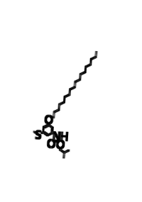 CCCCCCCCCCCCCCCCCCOc1cc(NC(=O)OCC(C)C)cc(SC)c1